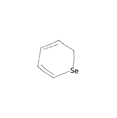 C1=CC[Se]C=C1